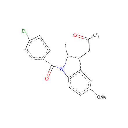 COc1ccc2c(c1)C(CC(=O)C(F)(F)F)C(C)N2C(=O)c1ccc(Cl)cc1